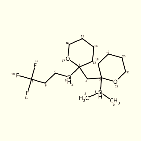 C[SiH](C)C1(CC2([SiH2]CCC(F)(F)F)CCCCO2)CCCCO1